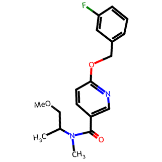 COCC(C)N(C)C(=O)c1ccc(OCc2cccc(F)c2)nc1